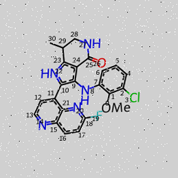 COc1c(Cl)cccc1Nc1c(-c2ccnc3ccc(F)nc23)[nH]c2c1C(=O)NCC2C